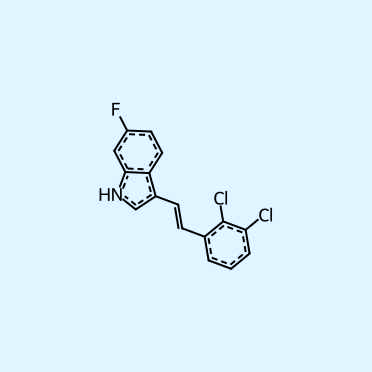 Fc1ccc2c(/C=C/c3cccc(Cl)c3Cl)c[nH]c2c1